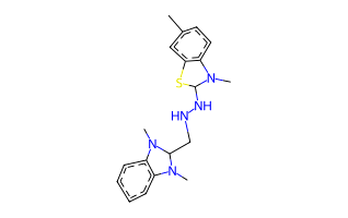 Cc1ccc2c(c1)SC(NNCC1N(C)c3ccccc3N1C)N2C